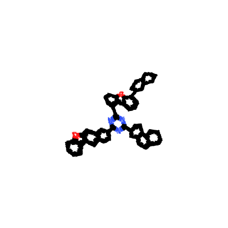 c1ccc2cc(-c3cccc4c3oc3cccc(-c5nc(-c6ccc7cc8c(cc7c6)oc6ccccc68)nc(-c6ccc7c(ccc8ccccc87)c6)n5)c34)ccc2c1